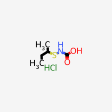 CCC(C)SNC(=O)O.Cl